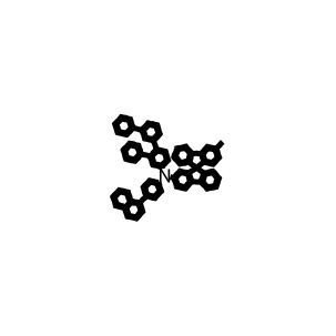 Cc1ccc2c(c1)-c1ccccc1C21c2ccccc2-c2ccc(N(c3ccc(-c4cccc5ccccc45)cc3)c3ccc(-c4cccc(-c5ccccc5)c4)c(-c4ccccc4)c3)cc21